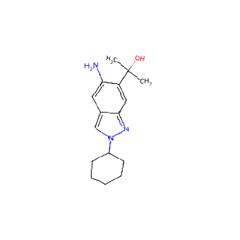 CC(C)(O)c1cc2nn(C3CCCCC3)cc2cc1N